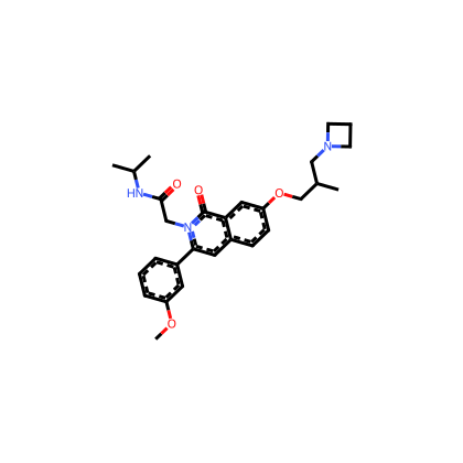 COc1cccc(-c2cc3ccc(OCC(C)CN4CCC4)cc3c(=O)n2CC(=O)NC(C)C)c1